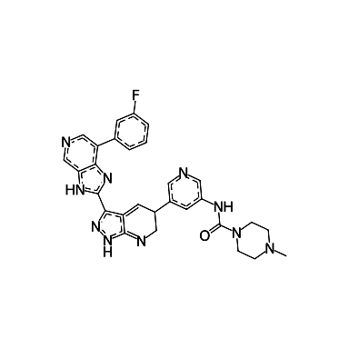 CN1CCN(C(=O)Nc2cncc(C3C=c4c(-c5nc6c(-c7cccc(F)c7)cncc6[nH]5)n[nH]c4=NC3)c2)CC1